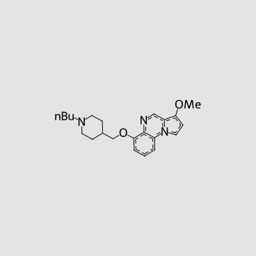 CCCCN1CCC(COc2cccc3c2ncc2c(OC)ccn23)CC1